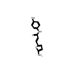 O=C(/C=C/c1ccc([N+](=O)[O-])o1)Nc1ccc(O)cc1